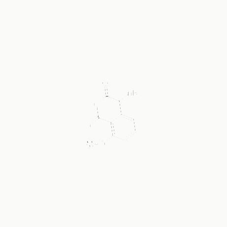 CCCCC1C(=O)OC(=O)c2c(OC)cccc21